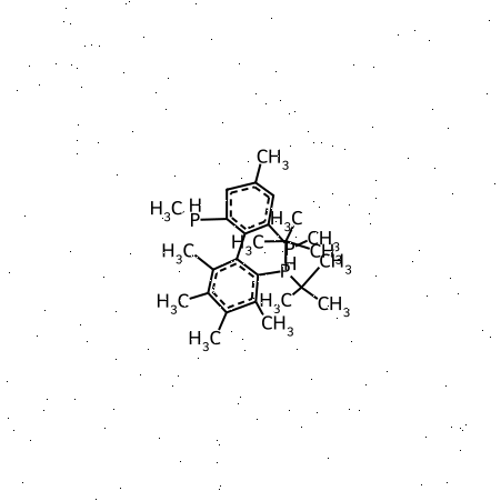 CPc1cc(C)cc(PC)c1-c1c(C)c(C)c(C)c(C)c1P(C(C)(C)C)C(C)(C)C